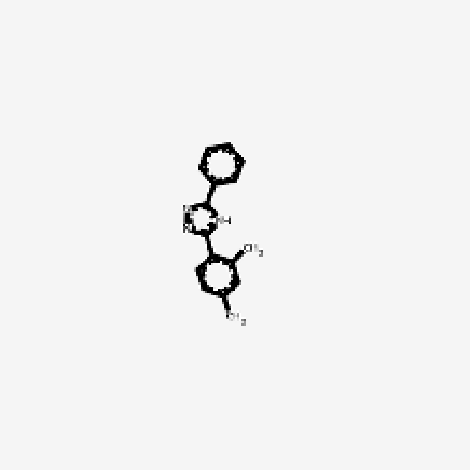 Cc1ccc(-c2nnc(-c3ccccc3)[nH]2)c(C)c1